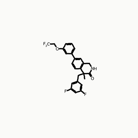 CC1(Cc2cc(F)cc(F)c2)C(=O)NCc2cc(-c3cccc(OCC(F)(F)F)c3)ccc21